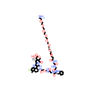 CC[C@@]1(O)C(=O)OCc2c1cc1n(c2=O)Cc2c-1nc1cc(F)c(C)c3c1c2[C@@H](NC(=O)COCNC(=O)CNC(=O)[C@H](Cc1ccccc1)NC(=O)CNC(=O)CNC(=O)CCOCCOCCOCCOCCOCCOCCOCCOCCN)CC3